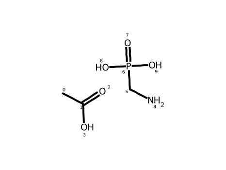 CC(=O)O.NCP(=O)(O)O